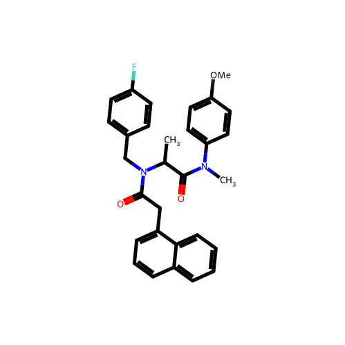 COc1ccc(N(C)C(=O)C(C)N(Cc2ccc(F)cc2)C(=O)Cc2cccc3ccccc23)cc1